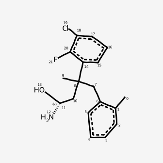 Cc1ccccc1CC(C)(C[C@H](N)O)c1cccc(Cl)c1F